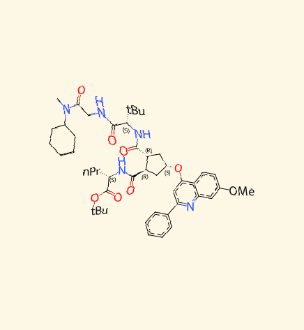 CCC[C@H](NC(=O)[C@@H]1C[C@@H](Oc2cc(-c3ccccc3)nc3cc(OC)ccc23)C[C@H]1C(=O)N[C@H](C(=O)NCC(=O)N(C)C1CCCCC1)C(C)(C)C)C(=O)OC(C)(C)C